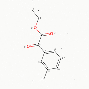 CCOC(=O)C(=O)c1cccc(C)c1